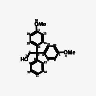 COc1ccc(C(CO)(c2ccccc2)c2ccc(OC)cc2)cc1